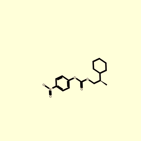 C[C@@H](COC(=O)Oc1ccc([N+](=O)[O-])cc1)C1CCCCC1